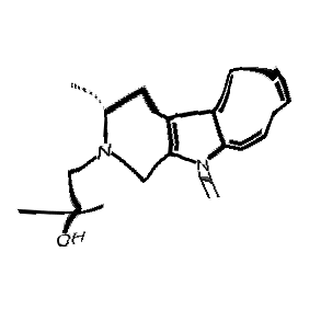 C[C@@H]1Cc2c([nH]c3ccccc23)CN1CC(C)(C)O